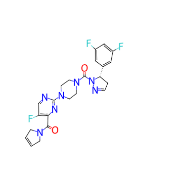 O=C(c1nc(N2CCN(C(=O)N3N=CC[C@H]3c3cc(F)cc(F)c3)CC2)ncc1F)N1CC=CC1